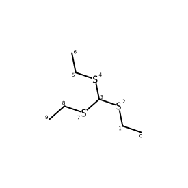 CCSC(SCC)SCC